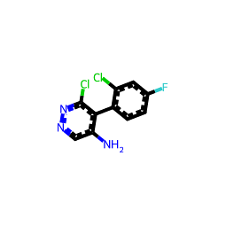 Nc1cnnc(Cl)c1-c1ccc(F)cc1Cl